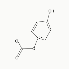 O=C(Cl)Oc1ccc(O)cc1